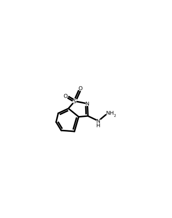 NNC1=NS(=O)(=O)c2ccccc21